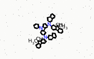 CC1(C)c2ccccc2-c2ccc(N(c3ccc4ccccc4c3)c3ccc4c(c3)c3cc(N(c5ccc6c(c5)C(C)(C)c5ccccc5-6)c5ccc6ccccc6c5)ccc3n4-c3ccccc3)cc21